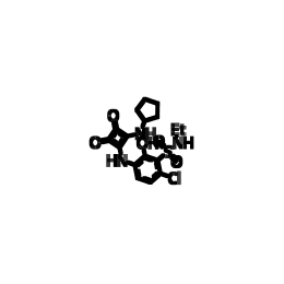 CCNS(=O)(=O)c1c(Cl)ccc(Nc2c(NC3CCCC3)c(=O)c2=O)c1O